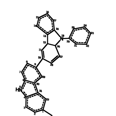 Cc1ccc2[nH]c3ccc(C4=CC5c6ccccc6N(c6ccccc6)C5C=C4)cc3c2c1